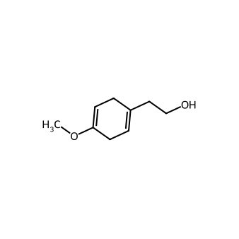 COC1=CCC(CCO)=CC1